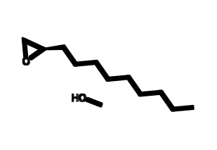 CCCCCCCCC[C@@H]1CO1.CO